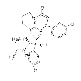 C=CN(C)/C(=N\N)C(O)(c1ccc(Cl)cc1)c1cc2c3c(c1)c(-c1cccc(Cl)c1)cc(=O)n3CCC2